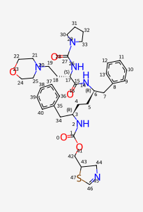 O=C(N[C@H](CC[C@H](Cc1ccccc1)NC(=O)[C@H](CCN1CCOCC1)NC(=O)N1CCCC1)Cc1ccccc1)OCC1CN=CS1